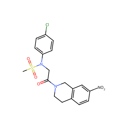 CS(=O)(=O)N(CC(=O)N1CCc2ccc([N+](=O)[O-])cc2C1)c1ccc(Cl)cc1